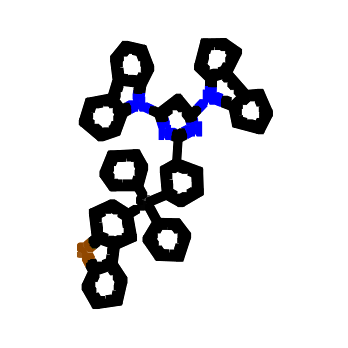 c1ccc([Si](c2ccccc2)(c2cccc(-c3nc(-n4c5ccccc5c5ccccc54)cc(-n4c5ccccc5c5ccccc54)n3)c2)c2ccc3sc4ccccc4c3c2)cc1